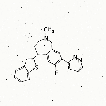 CN1CCC(c2cc3ccccc3s2)c2cc(F)c(-c3cccnn3)cc2C1